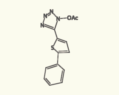 CC(=O)On1nnnc1-c1ccc(-c2ccccc2)s1